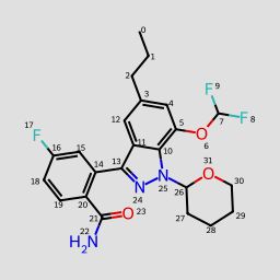 CCCc1cc(OC(F)F)c2c(c1)c(-c1cc(F)ccc1C(N)=O)nn2C1CCCCO1